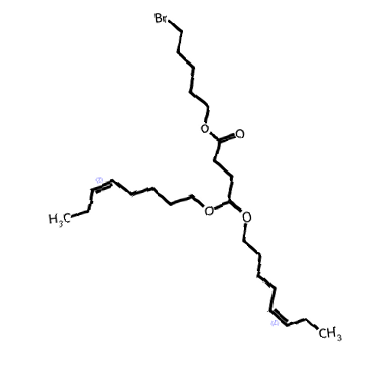 CC/C=C\CCCCOC(CCC(=O)OCCCCCBr)OCCCC/C=C\CC